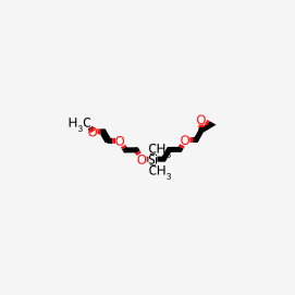 CO/C=C/OCCO[Si](C)(C)CCCOCC1CO1